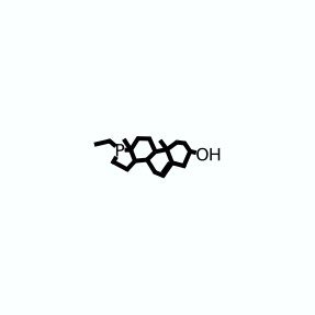 CCP1CCC2C3CC=C4CC(O)CCC4(C)C3CCC21C